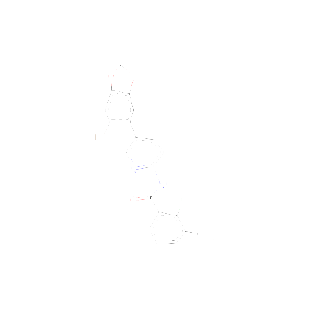 Cc1cccc(C(=O)Nc2ccc(-c3cc4c(cc3Br)OCO4)cn2)c1Cl